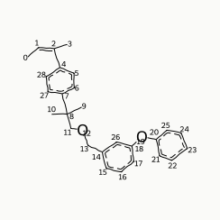 C/C=C(/C)c1ccc(C(C)(C)COCc2cccc(Oc3ccccc3)c2)cc1